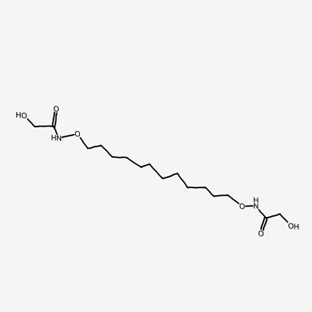 O=C(CO)NOCCCCCCCCCCCCONC(=O)CO